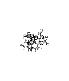 C=Cc1nc2cc(C)c([C@H](OC(C)(C)C)C(=O)OCC)c(OS(=O)(=O)C(F)(F)F)c2s1